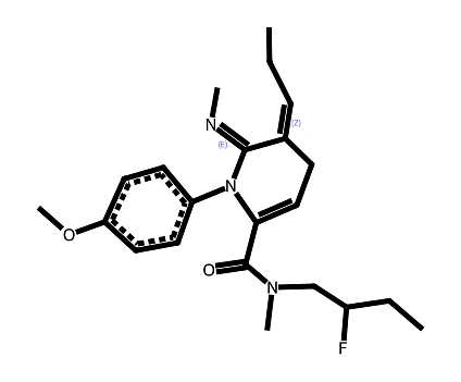 CC/C=C1/CC=C(C(=O)N(C)CC(F)CC)N(c2ccc(OC)cc2)/C1=N/C